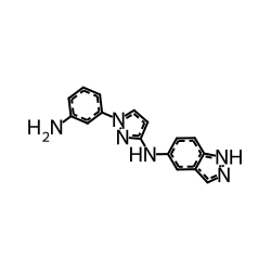 Nc1cccc(-n2ccc(Nc3ccc4[nH]ncc4c3)n2)c1